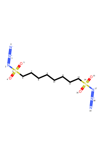 [N-]=[N+]=NS(=O)(=O)CCCCCCCCS(=O)(=O)N=[N+]=[N-]